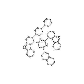 c1ccc(-c2ccc(-c3ccc4oc5ccccc5c4c3-c3nc(-c4ccc5ccccc5c4)nc(-c4cccc5sc6ccccc6c45)n3)cc2)cc1